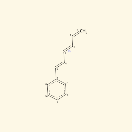 C=C/C=C/C=Cc1ccccc1